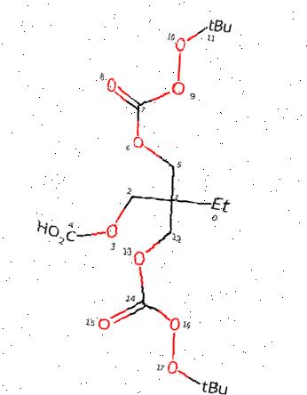 CCC(COC(=O)O)(COC(=O)OOC(C)(C)C)COC(=O)OOC(C)(C)C